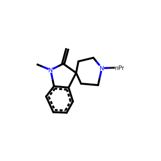 C=C1N(C)c2ccccc2C12CCN(CCC)CC2